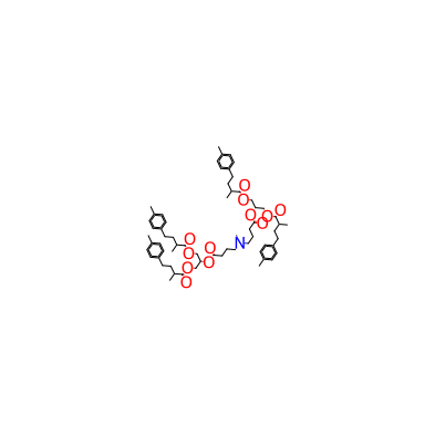 Cc1ccc(CCC(C)C(=O)OCC(COC(=O)C(C)CCc2ccc(C)cc2)OC(=O)CCCN(C)CCCC(=O)OC(COC(=O)C(C)CCc2ccc(C)cc2)COC(=O)C(C)CCc2ccc(C)cc2)cc1